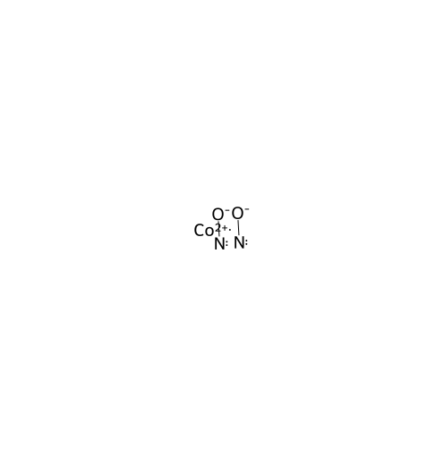 [Co+2].[N][O-].[N][O-]